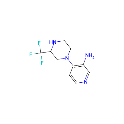 Nc1cnccc1N1CCNC(C(F)(F)F)C1